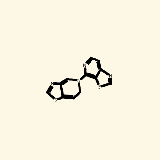 [c]1nc2ccnc(N3C=c4ncsc4=CC3)c2s1